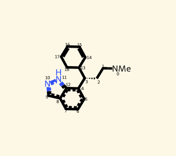 CNCC[C@H](c1cccc2cn[nH]c12)C1C=CC=CC1